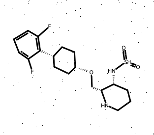 O=[SH](=O)N[C@@H]1CCCN[C@@H]1CO[C@H]1CC[C@@H](c2c(F)cccc2F)CC1